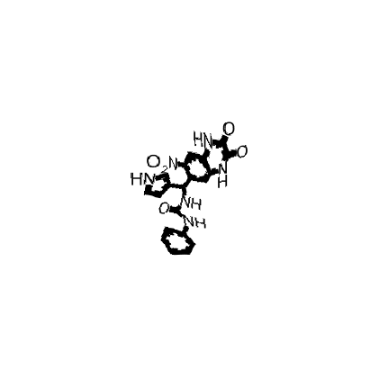 O=C(Nc1ccccc1)NC(c1cc[nH]c1)c1cc2[nH]c(=O)c(=O)[nH]c2cc1[N+](=O)[O-]